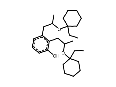 CCC1(OC(C)Cc2cccc(O)c2CC(C)OC2(CC)CCCCC2)CCCCC1